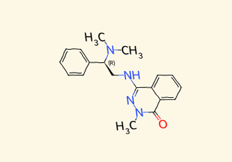 CN(C)[C@@H](CNc1nn(C)c(=O)c2ccccc12)c1ccccc1